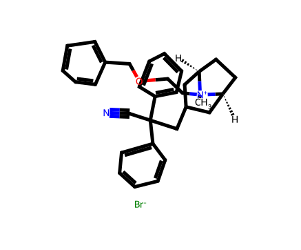 C[N+]1(CCOCc2ccccc2)[C@@H]2CC[C@H]1CC(CC(C#N)(c1ccccc1)c1ccccc1)C2.[Br-]